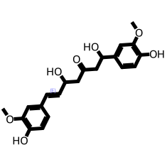 COc1cc(/C=C/C(O)CC(=O)CC(O)c2ccc(O)c(OC)c2)ccc1O